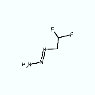 NN=NCC(F)F